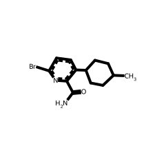 CC1CCC(c2ccc(Br)nc2C(N)=O)CC1